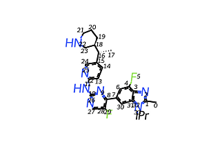 Cc1nc2c(F)cc(-c3nc(Nc4ccc([C@@H](C)[C@@H]5CCCNC5)cn4)ncc3F)cc2n1C(C)C